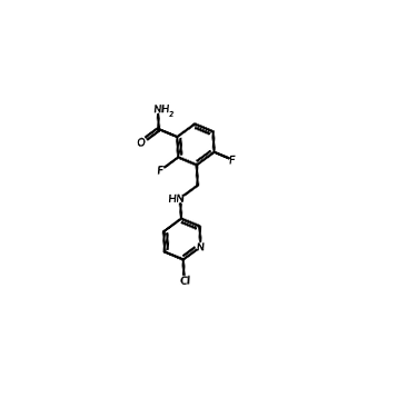 NC(=O)c1ccc(F)c(CNc2ccc(Cl)nc2)c1F